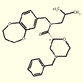 CC(C)CN(Cc1ccc2c(c1)OCCCO2)C(=O)[C@H]1CN(Cc2ccccc2)CCO1